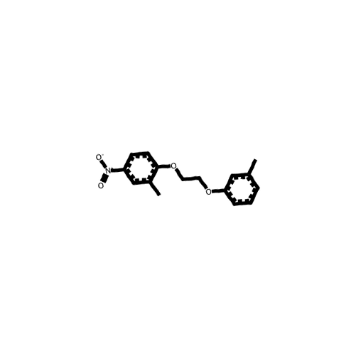 Cc1cccc(OCCOc2ccc([N+](=O)[O-])cc2C)c1